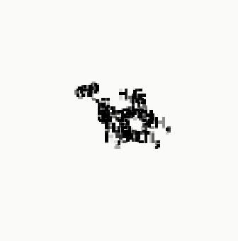 C=CC[C@H]1C(=O)C(C)(C)[C@@H](OC(=O)OCc2ccc(OC(=O)CCCCCN3C(=O)C=CC3=O)c([N+](=O)[O-])c2)CC(=O)O[C@H](c2ccc3sc(C)nc3c2)C[C@@H]2O[C@]2(C)CCC[C@H](C)[C@@H]1O